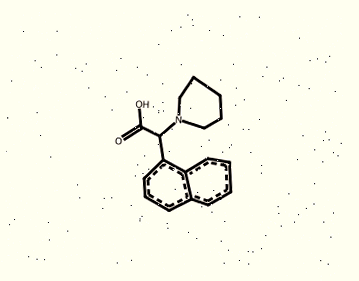 O=C(O)C(c1cccc2ccccc12)N1CCCCC1